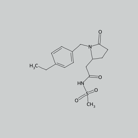 CCc1ccc(CN2C(=O)CCC2CC(=O)NS(C)(=O)=O)cc1